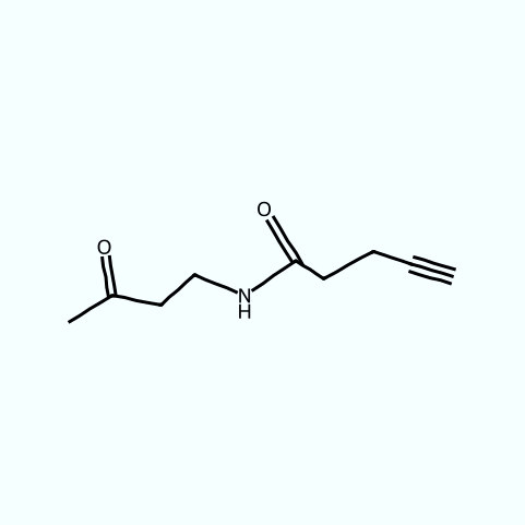 C#CCCC(=O)NCCC(C)=O